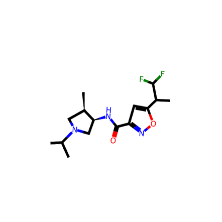 CC(c1cc(C(=O)N[C@H]2CN(C(C)C)C[C@H]2C)no1)C(F)F